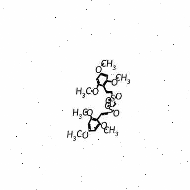 COc1cc(OC)c(C=CS(=O)(=O)CS(=O)(=O)C=Cc2c(OC)cc(OC)cc2OC)c(OC)c1